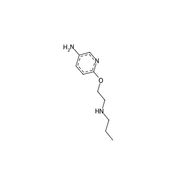 CCCNCCOc1ccc(N)cn1